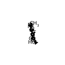 Cn1nnc(-c2ccc(-c3ccc(N4C[C@@H](CC5(O)CC5)OC4=O)cc3F)cn2)n1